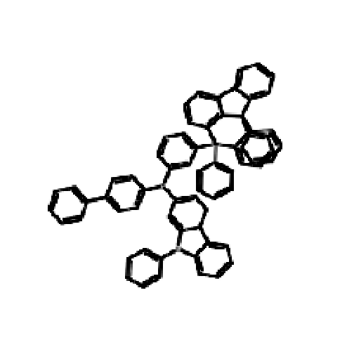 C1=CCC(C23c4ccccc4-c4cccc(c42)C(c2ccccc2)(c2cccc(N(C4=CCC5C(=C4)N(c4ccccc4)c4ccccc45)c4ccc(-c5ccccc5)cc4)c2)c2ccccc23)C=C1